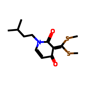 CSC(SC)=C1C(=O)C=CN(CCC(C)C)C1=O